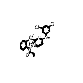 C=CC(=O)Nc1ccccc1Nc1nccc(N(C)c2cc(Cl)cc(Cl)c2)n1